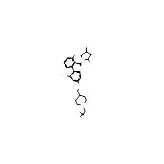 CC(C)(F)CN1CCC(COc2ccc(-c3cccc(F)c3C(=O)N3CC(F)CC3C(=O)O)c(C#N)c2)CC1